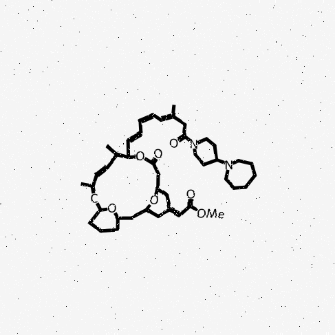 COC(=O)/C=C1\CC2CC(=O)OC(/C=C/C=C\C=C(/C)CC(=O)N3CCC(N4CCCCCC4)CC3)C(C)/C=C/C(C)CC3CCCC(CC(C1)O2)O3